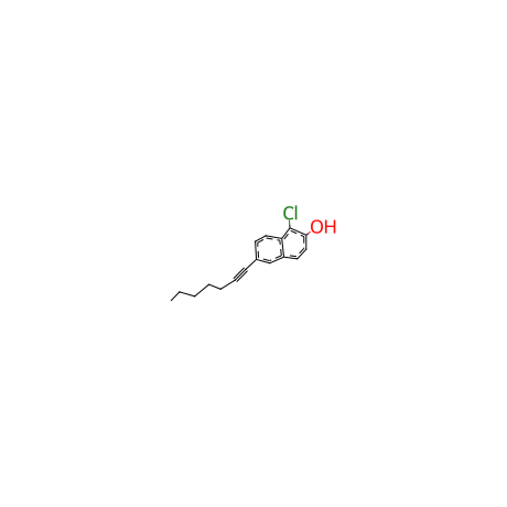 CCCCCC#Cc1ccc2c(Cl)c(O)ccc2c1